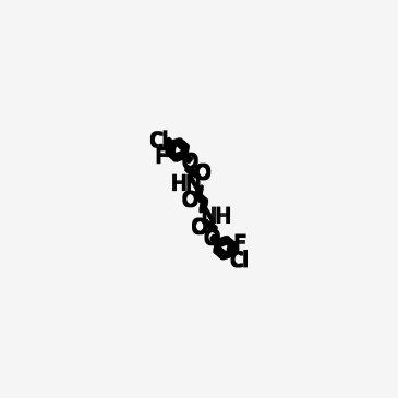 O=C(CCNC(=O)COc1ccc(Cl)c(F)c1)CNC(=O)COc1ccc(Cl)c(F)c1